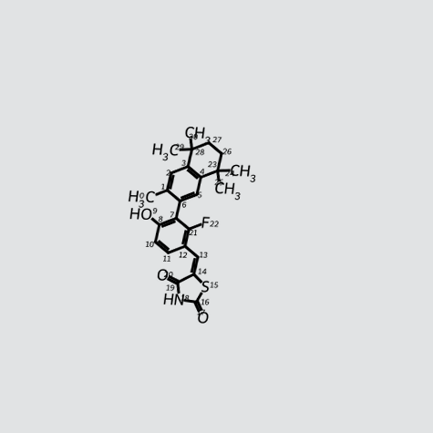 Cc1cc2c(cc1-c1c(O)ccc(C=C3SC(=O)NC3=O)c1F)C(C)(C)CCC2(C)C